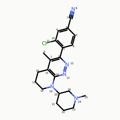 Cc1c(-c2ccc(C#N)cc2Cl)nnc2c1CCCN2C1CCCN(C)C1